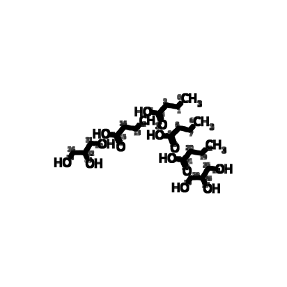 CCCC(=O)O.CCCC(=O)O.CCCC(=O)O.CCCC(=O)O.OCC(O)CO.OCC(O)CO